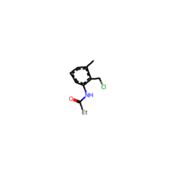 CCC(=O)Nc1cccc(C)c1CCl